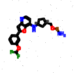 NSOC[C@@H]1CC[C@H](Nc2ccnc3cc(-c4cccc(OC(F)F)c4)oc23)C1